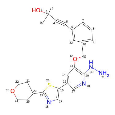 CC(C)(O)C#Cc1cccc(COc2cc(-c3cnc(C4CCOCC4)s3)cnc2NN)c1